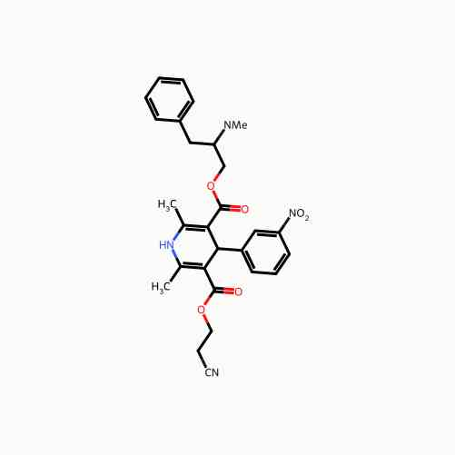 CNC(COC(=O)C1=C(C)NC(C)=C(C(=O)OCCC#N)C1c1cccc([N+](=O)[O-])c1)Cc1ccccc1